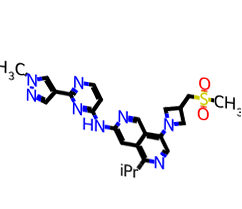 CC(C)c1ncc(N2CC(CS(C)(=O)=O)C2)c2cnc(Nc3ccnc(-c4cnn(C)c4)n3)cc12